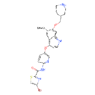 COc1cc2c(Oc3ccc(NC(=O)c4nc(Br)cs4)nc3)ccnc2cc1OCC1CCNCC1